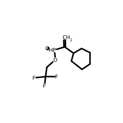 C=C(C1CCCCC1)[PH](=O)OCC(F)(F)F